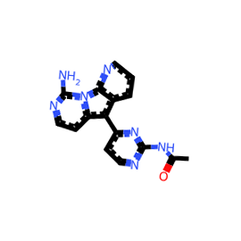 CC(=O)Nc1nccc(-c2c3cccnc3n3c(N)nccc23)n1